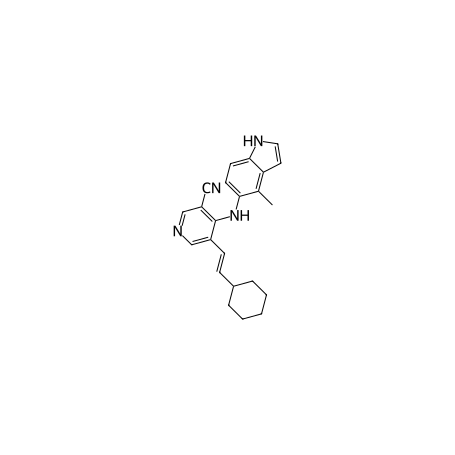 Cc1c(Nc2c(C#N)cncc2C=CC2CCCCC2)ccc2[nH]ccc12